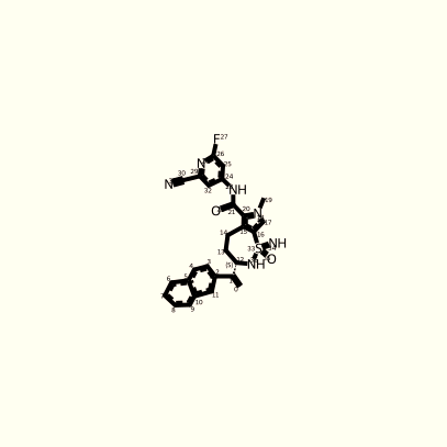 C=C(c1ccc2ccccc2c1)[C@@H]1CCc2c(cn(C)c2C(=O)Nc2cc(F)nc(C#N)c2)S(=N)(=O)N1